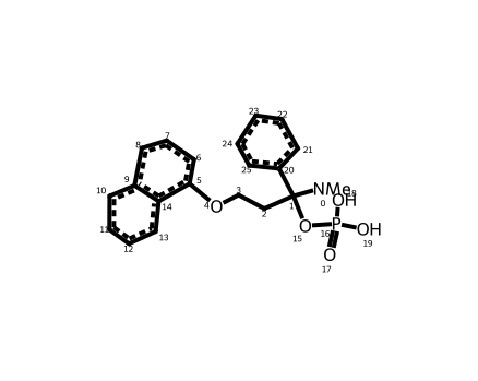 CNC(CCOc1cccc2ccccc12)(OP(=O)(O)O)c1ccccc1